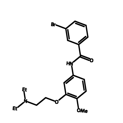 CCN(CC)CCOc1cc(NC(=O)c2cccc(Br)c2)ccc1OC